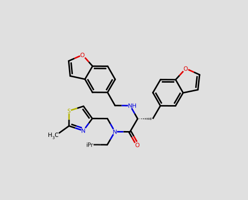 Cc1nc(CN(CC(C)C)C(=O)[C@@H](Cc2ccc3occc3c2)NCc2ccc3occc3c2)cs1